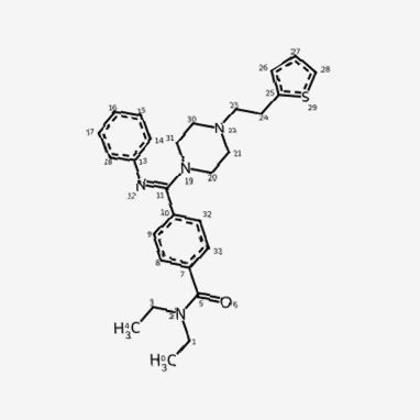 CCN(CC)C(=O)c1ccc(/C(=N/c2ccccc2)N2CCN(CCc3cccs3)CC2)cc1